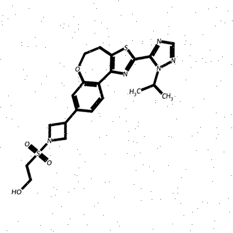 CC(C)n1ncnc1-c1nc2c(s1)CCOc1cc(C3CN(S(=O)(=O)CCO)C3)ccc1-2